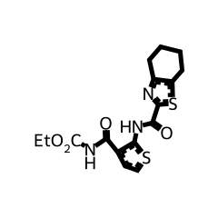 CCOC(=O)NC(=O)c1ccsc1NC(=O)c1nc2c(s1)CCCC2